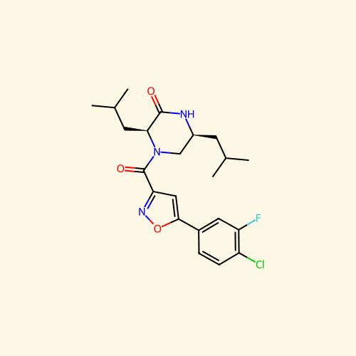 CC(C)C[C@H]1CN(C(=O)c2cc(-c3ccc(Cl)c(F)c3)on2)[C@@H](CC(C)C)C(=O)N1